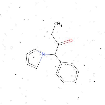 CCC(=O)C(c1ccccc1)N1C=C=C=C1